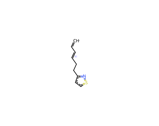 [CH]=C/C=C/CCc1ccsn1